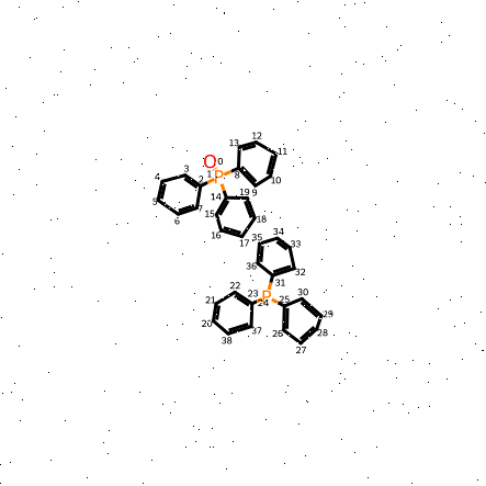 O=P(c1ccccc1)(c1ccccc1)c1ccccc1.c1ccc(P(c2ccccc2)c2ccccc2)cc1